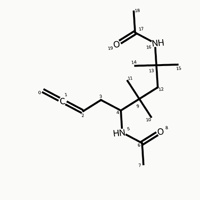 C=C=CCC(NC(C)=O)C(C)(C)CC(C)(C)NC(C)=O